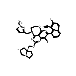 C#Cc1c(F)ccc2cccc(-c3nc4c5c(nc(OC[C@@]67CCCN6C[C@H](F)C7)nc5c3F)N(Cc3ccn(C)n3)CCO4)c12